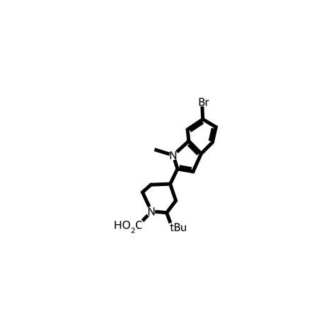 Cn1c(C2CCN(C(=O)O)C(C(C)(C)C)C2)cc2ccc(Br)cc21